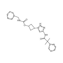 CC(C)(C(=O)Nc1cc(C2CC(OC(=O)NCc3ccccc3)C2)[nH]n1)c1ccccn1